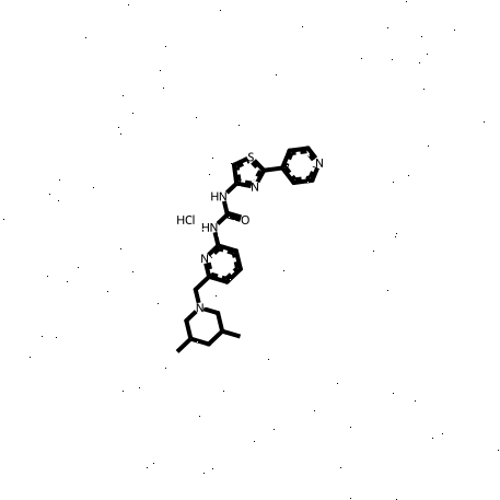 CC1CC(C)CN(Cc2cccc(NC(=O)Nc3csc(-c4ccncc4)n3)n2)C1.Cl